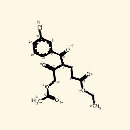 CCOC(=O)CCC(C(=O)COC(C)=O)C(=O)c1cccc(Cl)c1